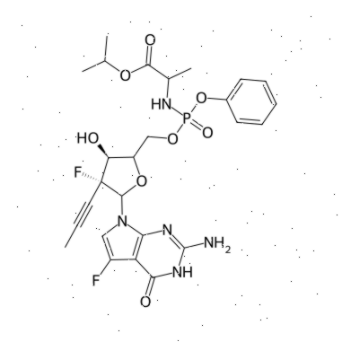 CC#C[C@]1(F)C(n2cc(F)c3c(=O)[nH]c(N)nc32)OC(COP(=O)(NC(C)C(=O)OC(C)C)Oc2ccccc2)[C@@H]1O